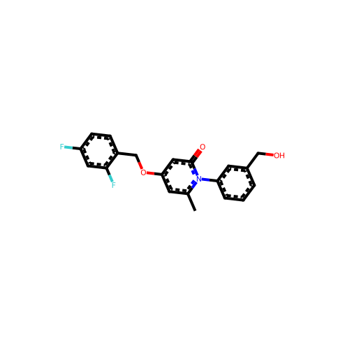 Cc1cc(OCc2ccc(F)cc2F)cc(=O)n1-c1cccc(CO)c1